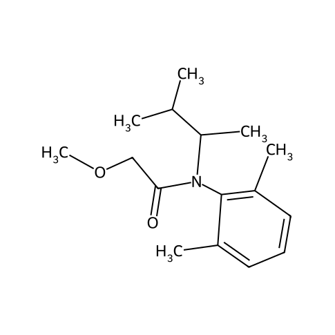 COCC(=O)N(c1c(C)cccc1C)C(C)C(C)C